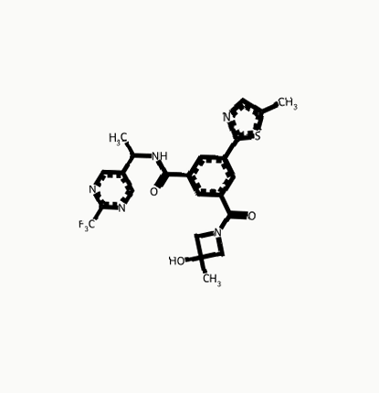 Cc1cnc(-c2cc(C(=O)NC(C)c3cnc(C(F)(F)F)nc3)cc(C(=O)N3CC(C)(O)C3)c2)s1